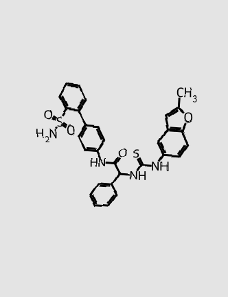 Cc1cc2cc(NC(=S)NC(C(=O)Nc3ccc(-c4ccccc4S(N)(=O)=O)cc3)c3ccccc3)ccc2o1